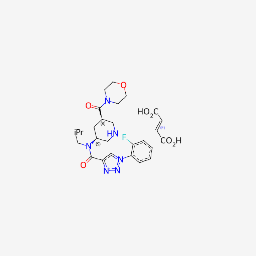 CC(C)CN(C(=O)c1cn(-c2ccccc2F)nn1)[C@@H]1CNC[C@H](C(=O)N2CCOCC2)C1.O=C(O)/C=C/C(=O)O